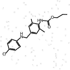 CCCOC(=O)Nc1c(C)cc(CNc2ccc(Cl)cc2)cc1C